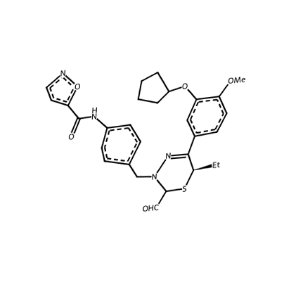 CC[C@H]1SC(C=O)N(Cc2ccc(NC(=O)c3ccno3)cc2)N=C1c1ccc(OC)c(OC2CCCC2)c1